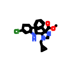 COC(=O)C1(c2ccccc2)N=CN(CC2CC2)C1c1cc2ccc(Cl)cc2[nH]1